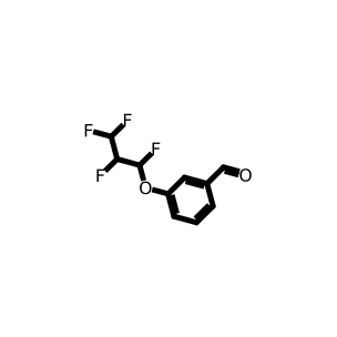 O=Cc1cccc(OC(F)C(F)C(F)F)c1